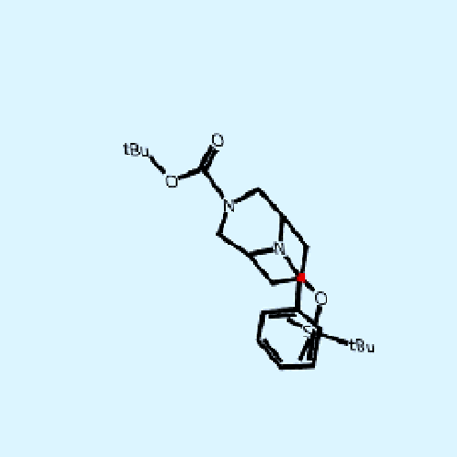 CC(C)(C)OC(=O)N1CC2CC(O[Si](C)(C)C(C)(C)C)CC(C1)N2Cc1ccccc1